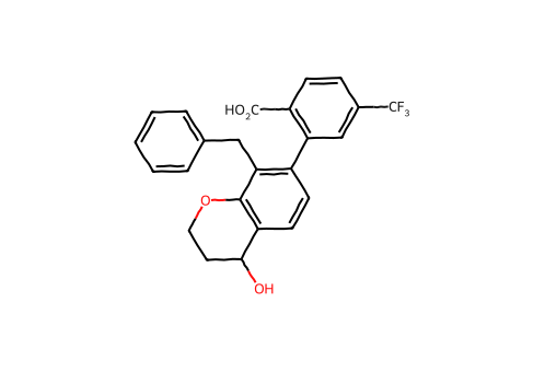 O=C(O)c1ccc(C(F)(F)F)cc1-c1ccc2c(c1Cc1ccccc1)OCCC2O